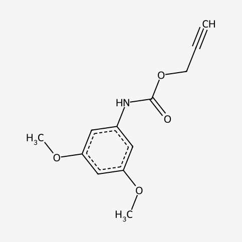 C#CCOC(=O)Nc1cc(OC)cc(OC)c1